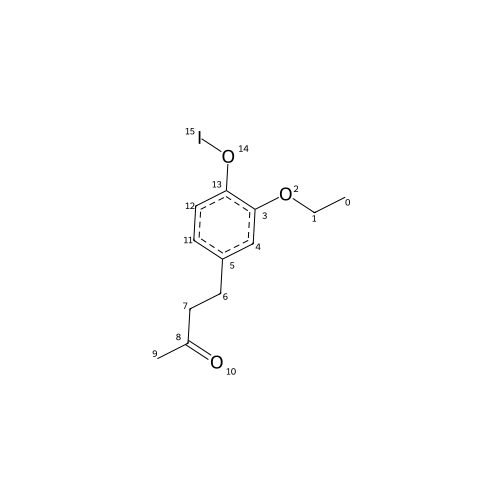 CCOc1cc(CCC(C)=O)ccc1OI